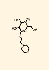 OCC1OC(OCCN2CCNCC2)C(O)C(O)C1O